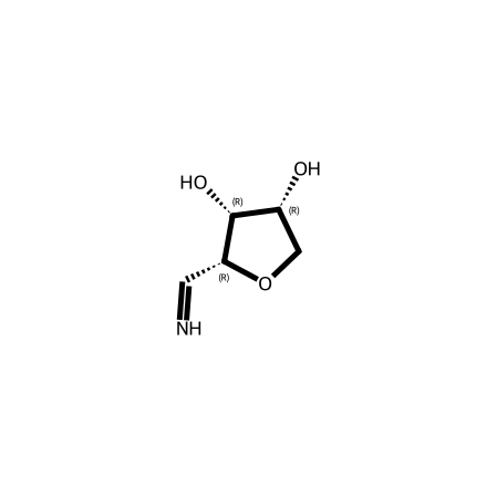 N=C[C@H]1OC[C@@H](O)[C@H]1O